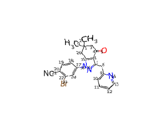 CC1(C)CC(=O)c2c(Cc3ccccn3)nn(-c3ccc(C#N)c(Br)c3)c2C1